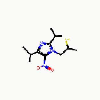 CC(S)Cn1c(C(C)C)nc(C(C)C)c1[N+](=O)[O-]